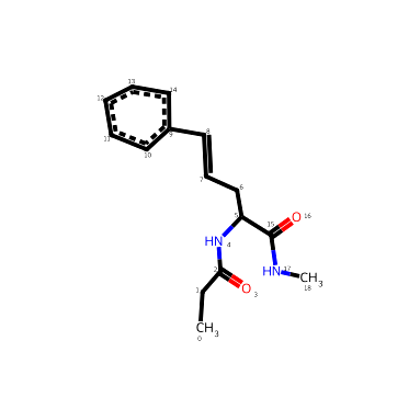 CCC(=O)NC(C/C=C/c1ccccc1)C(=O)NC